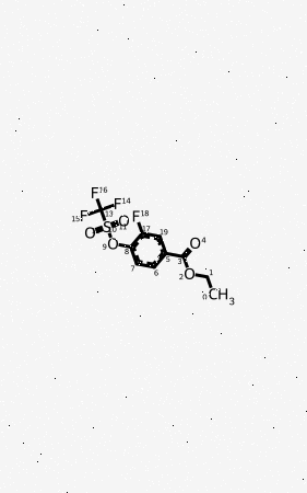 CCOC(=O)c1ccc(OS(=O)(=O)C(F)(F)F)c(F)c1